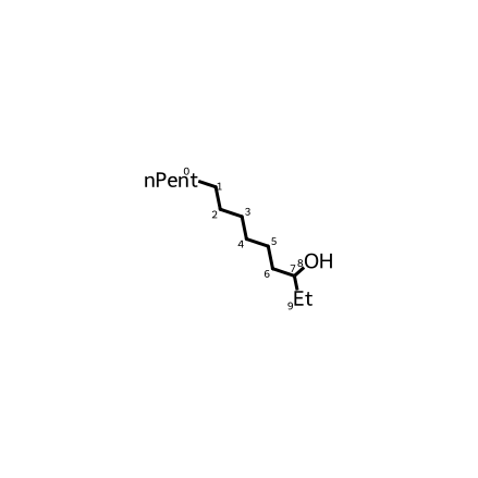 [CH2]CCCCCCCCCCC(O)CC